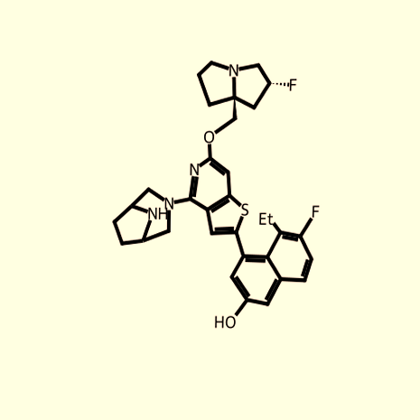 CCc1c(F)ccc2cc(O)cc(-c3cc4c(N5CC6CCC(C5)N6)nc(OC[C@@]56CCCN5C[C@H](F)C6)cc4s3)c12